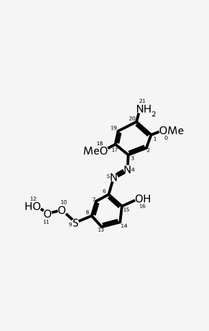 COc1cc(N=Nc2cc(SOOO)ccc2O)c(OC)cc1N